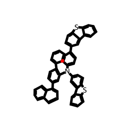 c1ccc(-c2ccc(-c3cccc4ccccc34)cc2N(c2ccc(-c3ccc4sc5ccccc5c4c3)cc2)c2ccc3sc4ccccc4c3c2)cc1